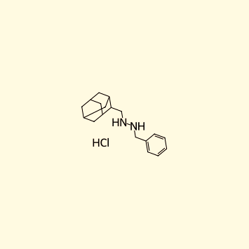 Cl.c1ccc(CNNCC2C3CC4CC(C3)CC2C4)cc1